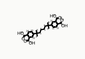 CC(C)(CCCCC(C)(C)c1ccc(C(=O)O)c(C(=O)O)c1)c1ccc(C(=O)O)c(C(=O)O)c1